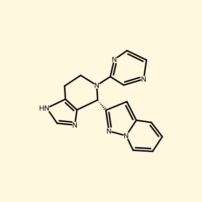 c1ccn2nc([C@@H]3c4nc[nH]c4CCN3c3cnccn3)cc2c1